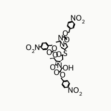 CC(=NC(=O)OCc1ccc([N+](=O)[O-])cc1)N1CCC(SC(=O)C[C@@H]2[C@H]([C@@H](C)OC(=O)OCc3ccc([N+](=O)[O-])cc3)C(=O)N2C(O)C(=O)OCc2ccc([N+](=O)[O-])cc2)C1